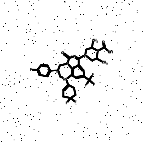 CC1CN(c2nc(=O)n3c4c(cc(C(F)(F)F)cc24)[SH](C2=CCC(F)(F)CC2)C[C@@H](c2ccc(F)cc2)C3)CC(C)N1C(=O)O